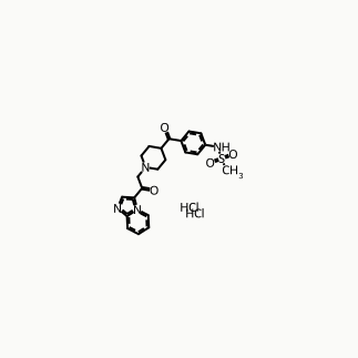 CS(=O)(=O)Nc1ccc(C(=O)C2CCN(CC(=O)c3cnc4ccccn34)CC2)cc1.Cl.Cl